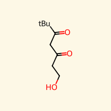 CC(C)(C)C(=O)CC(=O)CCO